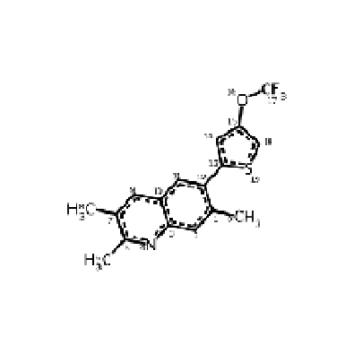 Cc1cc2nc(C)c(C)cc2cc1-c1cc(OC(F)(F)F)cs1